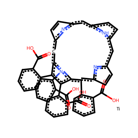 O=C(O)c1ccccc1-c1c(-c2ccccc2C(=O)O)c2c(-c3ccccc3C(=O)O)c3nc(cc4ccc(cc5nc(cc1n2-c1ccccc1C(=O)O)C=C5)[nH]4)C=C3.[Ti]